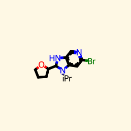 CC(C)N1c2cc(Br)ncc2NC1C1CCCO1